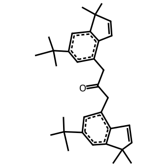 CC(C)(C)c1cc(CC(=O)Cc2cc(C(C)(C)C)cc3c2C=CC3(C)C)c2c(c1)C(C)(C)C=C2